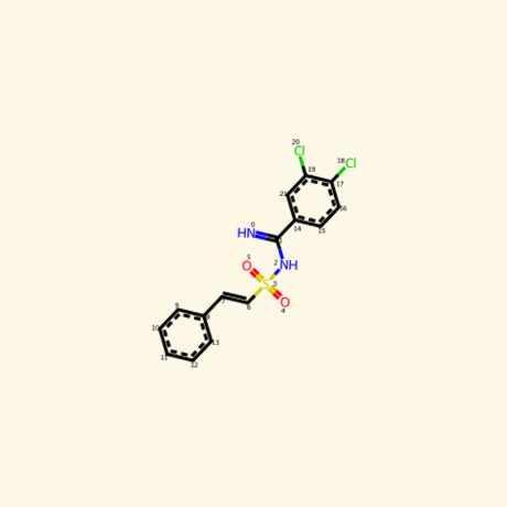 N=C(NS(=O)(=O)C=Cc1ccccc1)c1ccc(Cl)c(Cl)c1